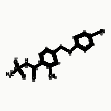 CCc1ccc(OCc2ccc(C(=O)NS(C)(=O)=O)c(C)c2)cc1